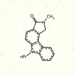 CCCn1c2ccccc2c2c3c(ccc21)C(=O)N(C)C3